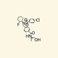 C[C@H](CO)NC(=O)c1ccc(CN(C2CCCCC2F)S(=O)(=O)c2ccc(Cl)cc2)cc1